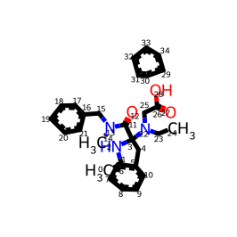 CCNC(Cc1ccccc1)(C(=O)N(C)Cc1ccccc1)N(CC)CC(=O)O.c1ccccc1